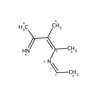 C/C=N\C(C)=C(\C)C(C)=N